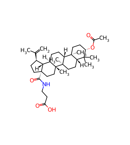 C=C(C)[C@@H]1CC[C@]2(C(=O)NCCC(=O)O)CC[C@]3(C)[C@H](CC[C@@H]4[C@@]5(C)CC[C@H](OC(C)=O)C(C)(C)[C@@H]5CC[C@]43C)[C@@H]12